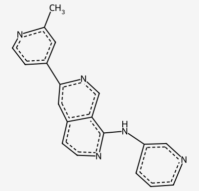 Cc1cc(-c2cc3ccnc(Nc4cccnc4)c3cn2)ccn1